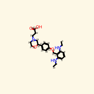 CCNc1cccc(NCC)c1COc1ccc(C2CN(CCC(=O)O)CCO2)cc1